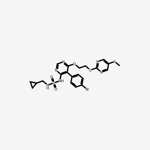 CSc1cnc(OCCOc2ncnc(NS(=O)(=O)NCC3CC3)c2-c2ccc(Br)cc2)nc1